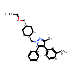 CCc1nn(C[C@H]2CC[C@H](COCC(=O)O)CC2)c(-c2ccccc2)c1-c1cccc(OC)c1